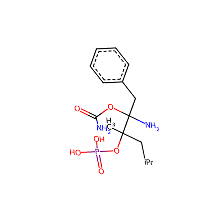 CC(C)CC(C)(OP(=O)(O)O)C(N)(Cc1ccccc1)OC(N)=O